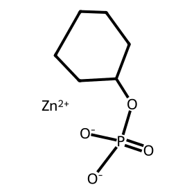 O=P([O-])([O-])OC1CCCCC1.[Zn+2]